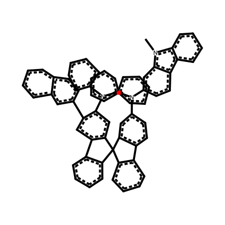 Cn1c2ccccc2c2ccc(N(c3ccccc3)c3ccc4c(c3)C3(c5ccccc5-4)c4ccccc4-c4cc(-c5ccc6ccccc6c5)c(N(c5ccccc5)c5ccccc5)cc43)cc21